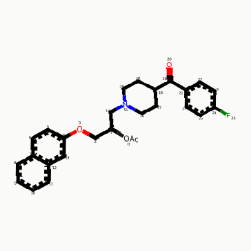 CC(=O)OC(COc1ccc2ccccc2c1)CN1CCC(C(=O)c2ccc(F)cc2)CC1